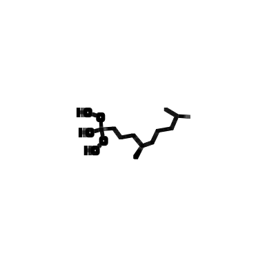 CC(C)CCC[C@@H](C)CCCC(O)(OO)OO